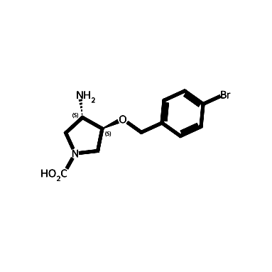 N[C@H]1CN(C(=O)O)C[C@@H]1OCc1ccc(Br)cc1